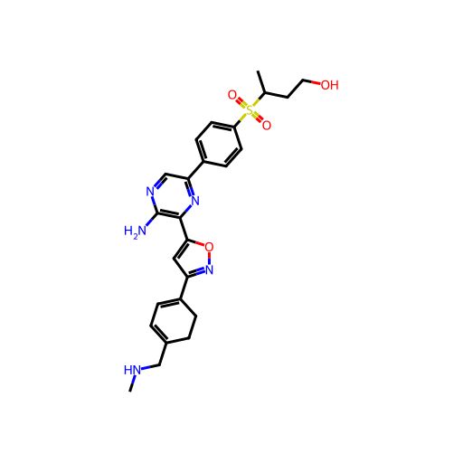 CNCC1=CC=C(c2cc(-c3nc(-c4ccc(S(=O)(=O)C(C)CCO)cc4)cnc3N)on2)CC1